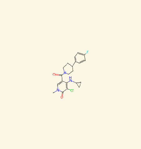 Cn1cc(C(=O)N2CCC(c3ccc(F)cc3)CC2)c(NC2CC2)c(Cl)c1=O